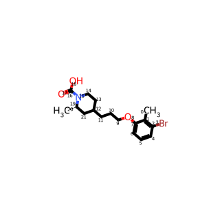 Cc1c(Br)cccc1OCCCC1CCN(C(=O)O)[C@@H](C)C1